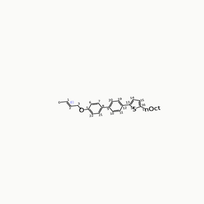 C/C=C/COc1ccc(-c2ccc(-c3ccc(CCCCCCCC)s3)cc2)cc1